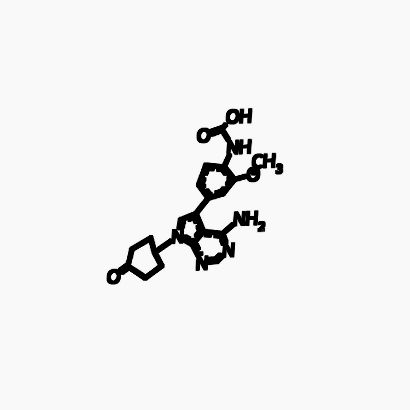 COc1cc(-c2cn(C3CCC(=O)CC3)c3ncnc(N)c23)ccc1NC(=O)O